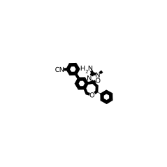 [C-]#[N+]c1cccc(-c2ccc3c(c2)C2(C[C@H](c4ccccc4)OC3)N=C(N)N(C)O2)c1